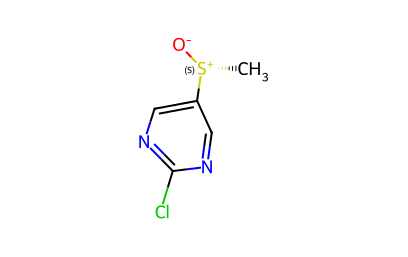 C[S@@+]([O-])c1cnc(Cl)nc1